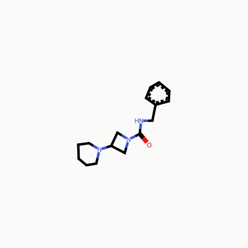 O=C(NCc1ccccc1)N1CC(N2CCCCC2)C1